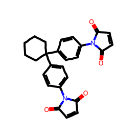 O=C1C=CC(=O)N1c1ccc(C2(c3ccc(N4C(=O)C=CC4=O)cc3)CCCCC2)cc1